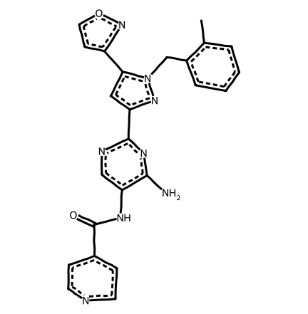 Cc1ccccc1Cn1nc(-c2ncc(NC(=O)c3ccncc3)c(N)n2)cc1-c1ccon1